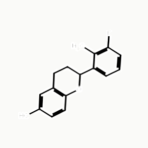 Cc1c(F)cccc1C1CCc2cc(O)ccc2O1